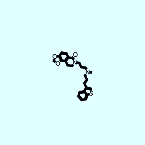 CN(CCCc1csc2ccccc12)CCCN1CCc2c(ccc3c2OCO3)C1=O